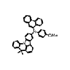 COc1ccc(N(c2ccc3c(c2)C2CC=CC4=C2N3c2ccccc2C4(C)C)c2cc3ccccc3c3ccccc23)cc1